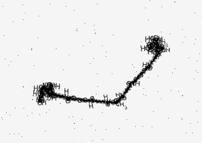 CC(C)(COCCC(=O)NCCCCCCCC(=O)NCCOCCOCCOCCC(=O)NCCCCCCOC1OC(C(=O)O)C(OC2OC(COS(=O)(=O)O)C(O)C(O)C2N)C(O)C1O)COCCC(=O)NCCCCCCCC(=O)NCCOCCOCCOCCC(=O)NCCCCCCOC1OC(C(=O)O)C(OC2OC(COS(=O)(=O)O)C(O)C(O)C2N)C(O)C1O